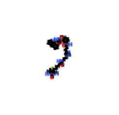 O=C(CCCC[C@@H]1SC[C@@H]2NC(=O)N[C@@H]21)NCCCn1cc(CCC(=O)Nc2cccc(S(=O)(=O)NC(=O)Nc3c4c(cc5c3CC=C5)CC=C4)c2)nn1